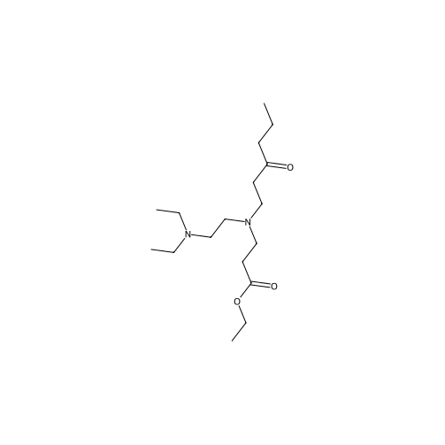 CCCC(=O)CCN(CCC(=O)OCC)CCN(CC)CC